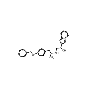 CC(Cc1ccc(OCc2ccccc2)cc1)NCC(O)c1cc2ccccc2o1